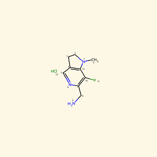 CN1CCc2cnc(CN)c(F)c21.Cl